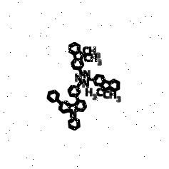 CC1(C)c2ccccc2-c2ccc(-c3nc(-c4cccc(-c5cccc6c5c5cc(-c7ccccc7)ccc5n6-c5ccccc5)c4)nc(-c4ccc5c(c4)C(C)(C)c4ccccc4-5)n3)cc21